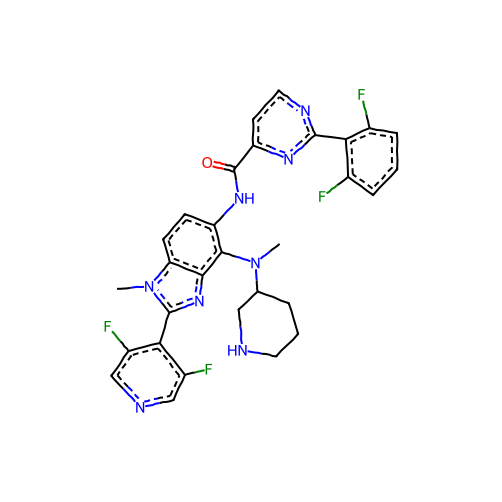 CN(c1c(NC(=O)c2ccnc(-c3c(F)cccc3F)n2)ccc2c1nc(-c1c(F)cncc1F)n2C)C1CCCNC1